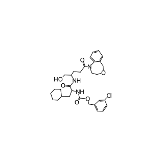 O=C(NC(CC1CCCCC1)C(=O)NC(CO)CCC(=O)N1CCOCc2ccccc21)OCc1cccc(Cl)c1